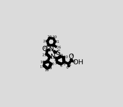 CC(C(=O)O)c1ccc2c(c1)SC1N2C(c2ccccc2)=CC(=O)N1C1(C)CCCCC1